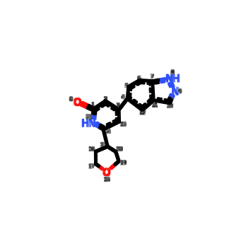 O=c1cc(-c2ccc3[nH]ncc3c2)cc(C2CCOCC2)[nH]1